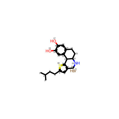 Br.CC(C)CCc1cc2c(s1)C1c3cc(O)c(O)cc3CCC1NC2